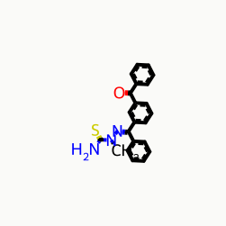 CN(/N=C(\c1ccccc1)c1cccc(C(=O)c2ccccc2)c1)C(N)=S